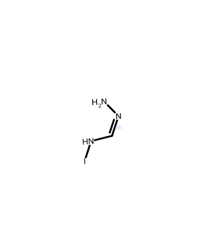 N/N=C\NI